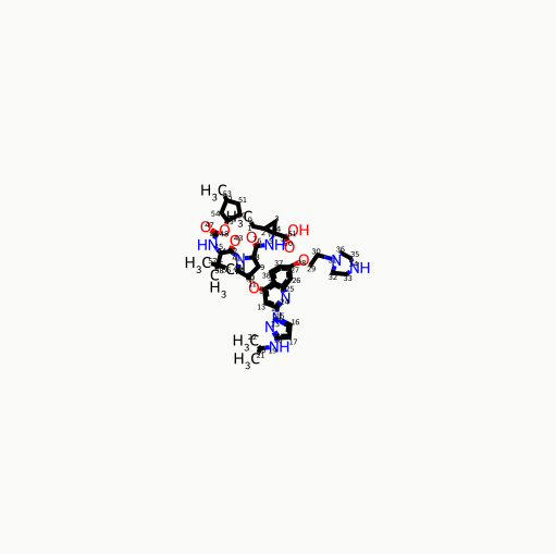 CCC1C[C@]1(NC(=O)C1C[C@@H](Oc2cc(-n3ccc(NC(C)C)n3)nc3cc(OCCN4CCNCC4)ccc23)CN1C(=O)C(NC(=O)OC1CCC(C)C1)C(C)(C)C)C(=O)O